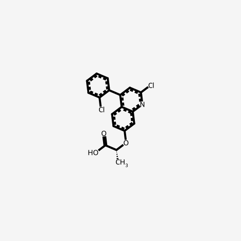 C[C@@H](Oc1ccc2c(-c3ccccc3Cl)cc(Cl)nc2c1)C(=O)O